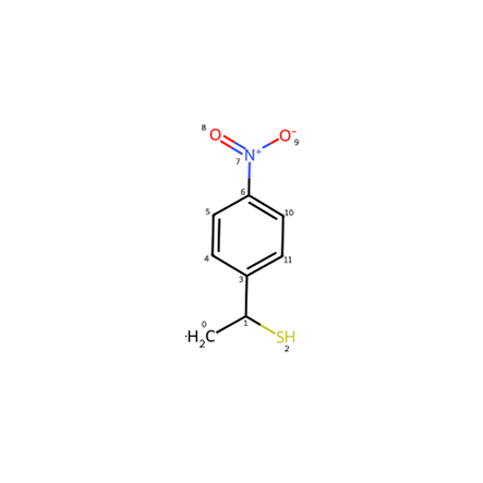 [CH2]C(S)c1ccc([N+](=O)[O-])cc1